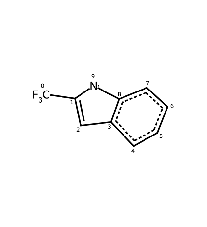 FC(F)(F)C1=Cc2ccccc2[N]1